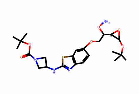 CC(C)(C)OC(=O)N1CC(Nc2nc3ccc(OCC(ON)[C@H]4OC4OC(C)(C)C)cc3s2)C1